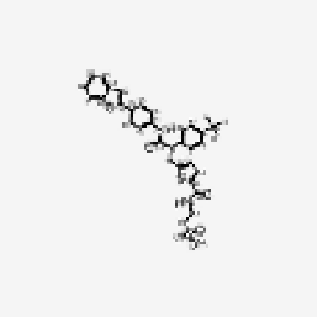 CC(C)(C)c1ccc(C(Cc2ccc(C(=O)NCCS(=O)(=O)O)s2)C(=O)Nc2ccc(-c3cc4ccccc4o3)cc2)cc1